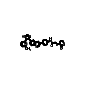 Cc1cccc(-c2[nH]cnc2-c2ccc3ncc(C4=CCC(NC(=O)CSC5CCOC5=O)CC4)cc3c2)n1